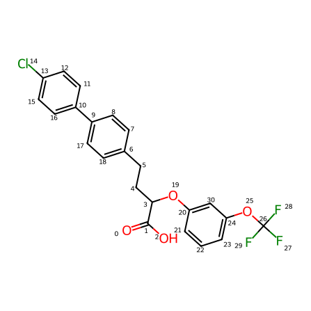 O=C(O)C(CCc1ccc(-c2ccc(Cl)cc2)cc1)Oc1cccc(OC(F)(F)F)c1